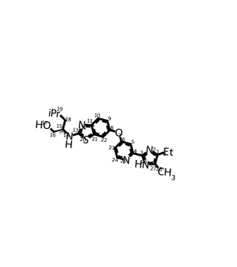 CCc1nc(-c2cc(Oc3ccc4nc(N[C@@H](CO)CC(C)C)sc4c3)ccn2)[nH]c1C